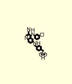 N#Cc1cnc2ccc(NCc3ccc(C[SH](=O)=O)cc3)cc2c1Nc1cccc(Cl)c1